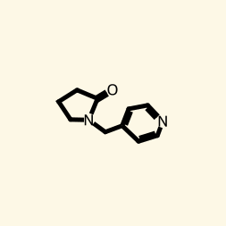 O=C1CCCN1Cc1ccncc1